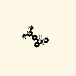 C1=CC(c2cc(-c3ccc(C4Nc5c(nc6ccccn56)-c5ccccc54)cc3)cc(C3=CC=N3)n2)=N1